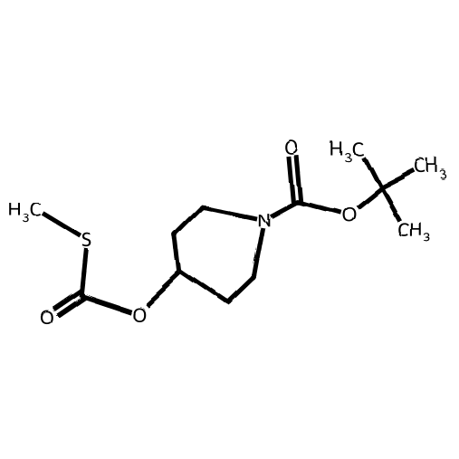 CSC(=O)OC1CCN(C(=O)OC(C)(C)C)CC1